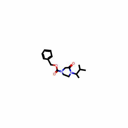 CC(C)C(C)N1CCN(C(=O)OCc2ccccc2)CC1=O